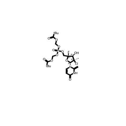 C=C1NC(=O)C=CN1[C@@H]1O[C@](F)(COP(=O)(OCOC(=O)C(C)(C)C)OCOC(=O)C(C)(C)C)[C@@H](O)[C@@]1(C)Cl